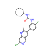 Cc1nc2cc(Cl)ncc2cc1-c1ccc(F)c(NC(=O)NC2CCCCCC2)c1